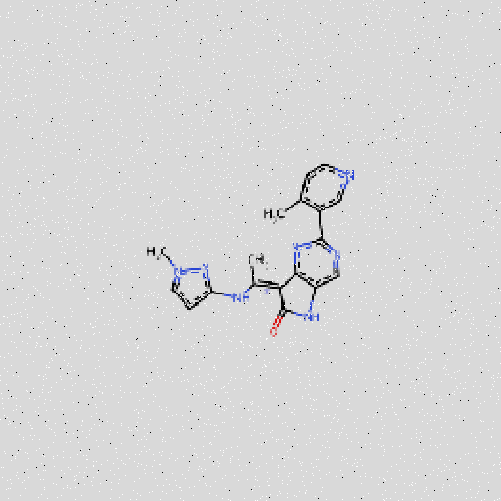 C/C(Nc1ccn(C)n1)=C1/C(=O)Nc2cnc(-c3cnccc3C)nc21